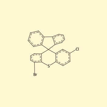 Clc1ccc2c(c1)C1(c3ccccc3-c3ccccc31)c1cccc(Br)c1S2